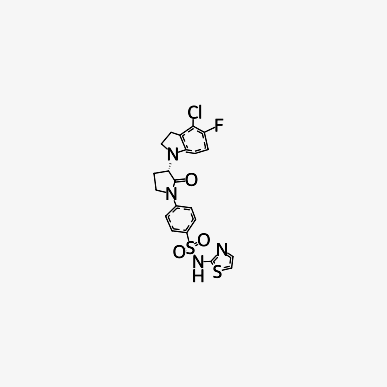 O=C1[C@@H](N2CCc3c2ccc(F)c3Cl)CCN1c1ccc(S(=O)(=O)Nc2nccs2)cc1